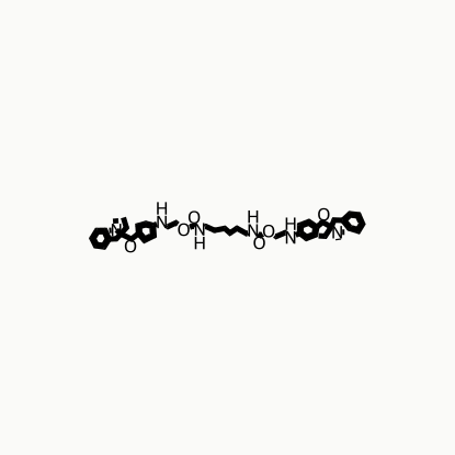 CCC(Cc1ccccc1)(C(=O)c1ccc(NCCOC(=O)NCCCCCCNC(=O)OCCNc2ccc(C(=O)C(CC)(Cc3ccccc3)N(C)C)cc2)cc1)N(C)C